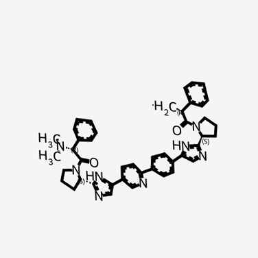 [CH2][C@@H](C(=O)N1CCC[C@H]1c1ncc(-c2ccc(-c3ccc(-c4cnc([C@@H]5CCCN5C(=O)[C@@H](c5ccccc5)N(C)C)[nH]4)cn3)cc2)[nH]1)c1ccccc1